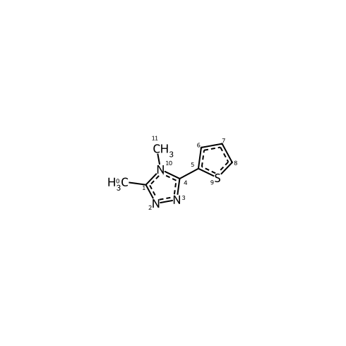 Cc1nnc(-c2cccs2)n1C